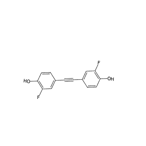 Oc1ccc(C#Cc2ccc(O)c(F)c2)cc1F